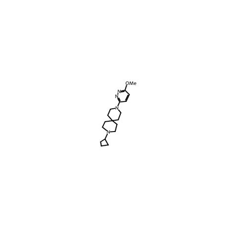 COc1ccc(N2CCC3(CC2)CCN(C2CCC2)CC3)nn1